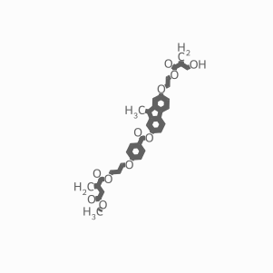 C=C(CO)C(=O)OCCOc1ccc2c(c1)C(C)c1cc(OC(=O)c3ccc(OCCCOC(=O)C(=C)CC(=O)OC)cc3)ccc1-2